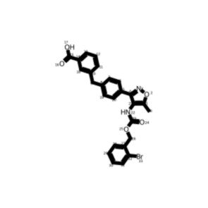 Cc1onc(-c2ccc(Cc3cccc(C(=O)O)c3)cc2)c1NC(=O)OCc1ccccc1Br